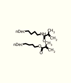 C=C(C)C(=O)NCCCCCCCCCCCCCC.C=C(C)C(=O)OCCCCCCCCCCCCCC